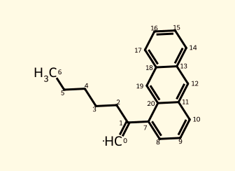 [CH]=C(CCCCC)c1cccc2cc3ccccc3cc12